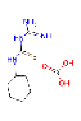 N=C(N)NC(=S)NC1CCCCC1.O=C(O)O